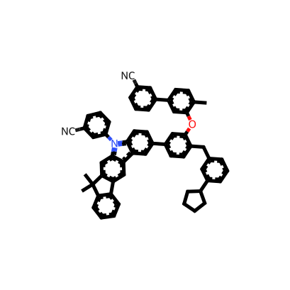 Cc1ccc(-c2cccc(C#N)c2)cc1Oc1cc(-c2ccc3c(c2)c2cc4c(cc2n3-c2cccc(C#N)c2)C(C)(C)c2ccccc2-4)ccc1Cc1cccc(C2CCCC2)c1